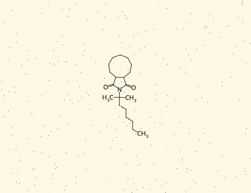 CCCCCCC(C)(C)N1C(=O)C2CCCCCCCC2C1=O